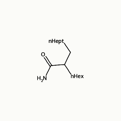 CCCCCCCCC(CCCCCC)C(N)=O